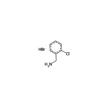 Br.NCc1ccccc1Cl